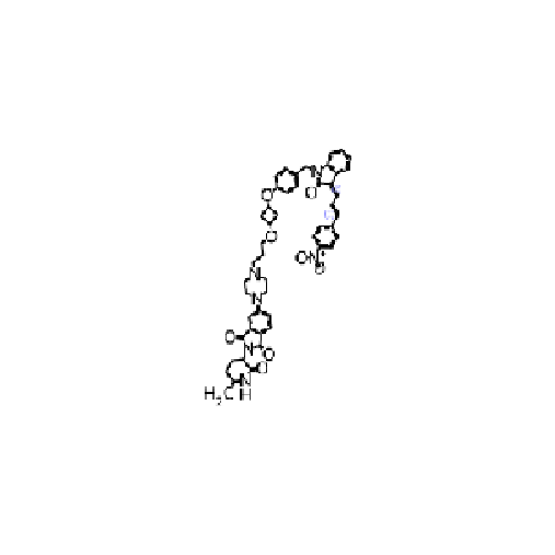 C=C1CCC(N2C(=O)c3ccc(N4CCN(CCCO[C@H]5C[C@H](Oc6ccc(CN7C(=O)/C(=C\C=C\c8ccc([N+](=O)[O-])cc8)c8ccccc87)cc6)C5)CC4)cc3C2=O)C(=O)N1